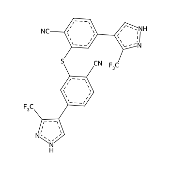 N#Cc1ccc(-c2c[nH]nc2C(F)(F)F)cc1Sc1cc(-c2c[nH]nc2C(F)(F)F)ccc1C#N